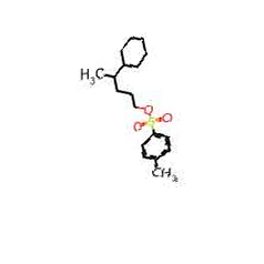 Cc1ccc(S(=O)(=O)OCCCC(C)C2CCCCC2)cc1